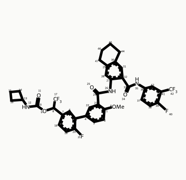 COc1ccc(-c2cc(C(OC(=O)NC3CCC3)C(F)(F)F)ccc2F)cc1C(=O)Nc1cc2c(cc1C(=O)Nc1ccc(F)c(C(F)(F)F)c1)CCCC2